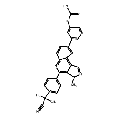 Cn1ncc2c3cc(-c4cncc(NC(=O)O)c4)ccc3nc(-c3ccc(C(C)(C)C#N)cc3)c21